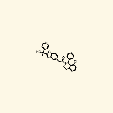 CC(O)(c1ccncc1)c1cc2cc(CC(=O)N3CCc4cccc(Cl)c4C3c3ccccc3)ccc2o1